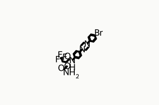 NC(=O)OC(CC(F)(F)F)C(=O)Nc1ccc(N2CCN(c3ccc(Br)cc3)CC2)cc1